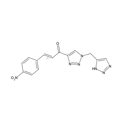 O=C(/C=C/c1ccc([N+](=O)[O-])cc1)c1cn(Cc2cnn[nH]2)nn1